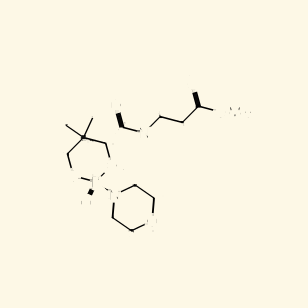 COC(=O)CCNC(=O)[C@@H]1O[P@@](=O)(N2CCOCC2)OCC1(C)C